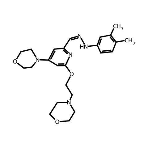 Cc1ccc(N/N=C\c2cc(N3CCOCC3)cc(OCCN3CCOCC3)n2)cc1C